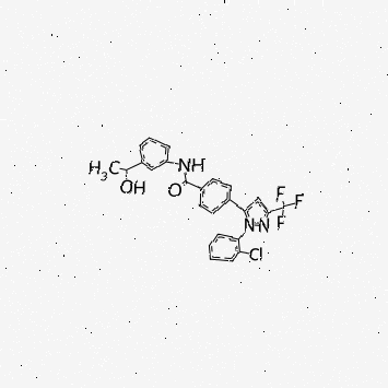 CC(O)c1cccc(NC(=O)c2ccc(-c3cc(C(F)(F)F)nn3-c3ccccc3Cl)cc2)c1